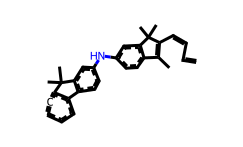 C=C/C=C\C1=C(C)c2ccc(Nc3ccc4c(c3)C(C)(C)c3ccccc3-4)cc2C1(C)C